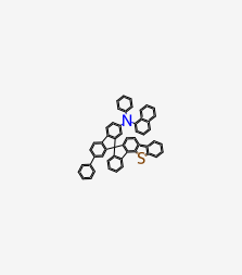 c1ccc(-c2ccc3c(c2)C2(c4cc(N(c5ccccc5)c5cccc6ccccc56)ccc4-3)c3ccccc3-c3c2ccc2c3sc3ccccc32)cc1